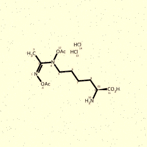 CC(=O)ON=C(C)N(CCCC[C@H](N)C(=O)O)OC(C)=O.Cl.Cl